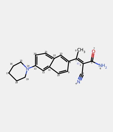 C/C(=C(/C#N)C(N)=O)c1ccc2cc(N3CCCCC3)ccc2c1